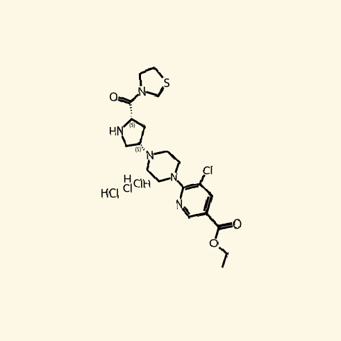 CCOC(=O)c1cnc(N2CCN([C@@H]3CN[C@H](C(=O)N4CCSC4)C3)CC2)c(Cl)c1.Cl.Cl.Cl